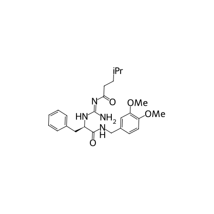 COc1ccc(CNC(=O)[C@@H](Cc2ccccc2)NC(N)=NC(=O)CCC(C)C)cc1OC